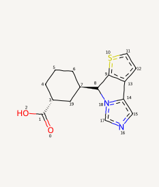 O=C(O)[C@@H]1CCC[C@@H](C2c3sccc3-c3cncn32)C1